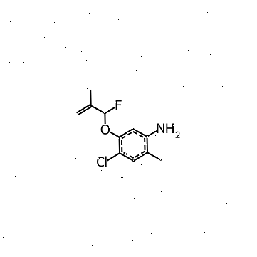 C=C(C)C(F)Oc1cc(N)c(C)cc1Cl